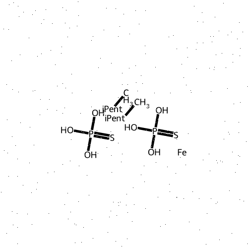 CCCC(C)C.CCCC(C)C.OP(O)(O)=S.OP(O)(O)=S.[Fe]